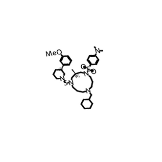 COc1cccc([C@@H]2CCCN(SN3CCCN(CC4CCCCC4)CCCN(S(=O)(=O)c4ccc(N(C)C)cc4)C[C@H](C)C3)C2)c1